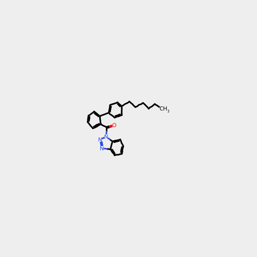 CCCCCCc1ccc(-c2ccccc2C(=O)n2nnc3ccccc32)cc1